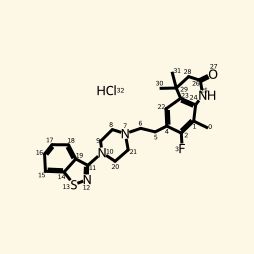 Cc1c(F)c(CCN2CCN(c3nsc4ccccc34)CC2)cc2c1NC(=O)CC2(C)C.Cl